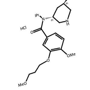 COCCCOc1cc(C(=O)N(C(C)C)[C@H]2CNC[C@H](C(=O)O)C2)ccc1OC.Cl